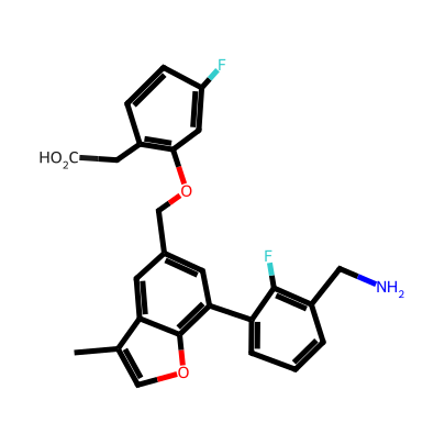 Cc1coc2c(-c3cccc(CN)c3F)cc(COc3cc(F)ccc3CC(=O)O)cc12